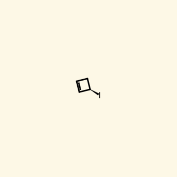 I[C@H]1C=CC1